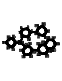 c1ccc(-c2cccc(N(c3ccccc3)c3cccc(-c4ccc5ccccc5c4)c3)c2)cc1